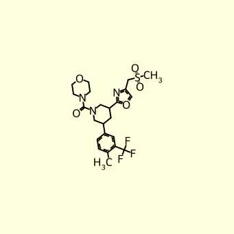 Cc1ccc(C2CC(c3nc(CS(C)(=O)=O)co3)CN(C(=O)N3CCOCC3)C2)cc1C(F)(F)F